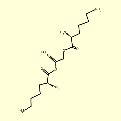 Cl.NCCCC[C@H](N)C(=O)OCC(=O)OC(=O)[C@@H](N)CCCCN